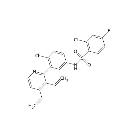 C=Cc1ccnc(-c2cc(NS(=O)(=O)c3ccc(F)cc3Cl)ccc2Cl)c1C=C